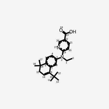 CCN(c1ccc2c(c1)C(C(C)(C)C)=CCC2(C)C)c1ccc(C(=O)O)cn1